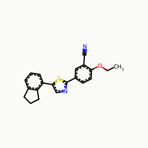 CCOc1ccc(-c2ncc(-c3cccc4c3CCC4)s2)cc1C#N